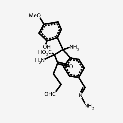 COc1ccc(C(N)(c2ccc(C=NN)cc2)C(N)(C(=O)O)C(=O)CCC=O)c(O)c1